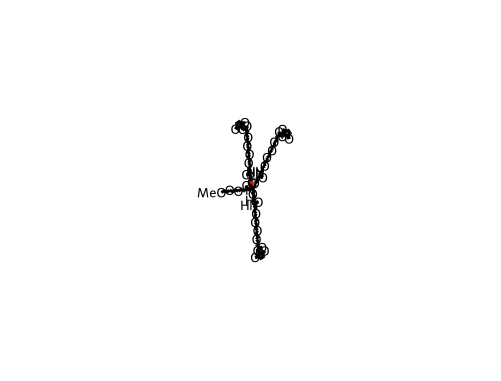 COCCOCCOCCC(=O)NC(COCCC(=O)NCCOCCOCCOCCOCCC(=O)ON1C(=O)CCC1=O)(COCCC(=O)NCCOCCOCCOCCOCCC(=O)ON1C(=O)CCC1=O)COCCC(=O)NCCOCCOCCOCCOCCC(=O)ON1C(=O)CCC1=O